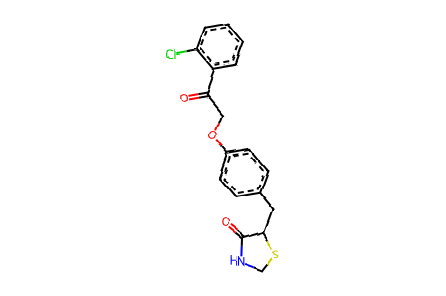 O=C(COc1ccc(CC2SCNC2=O)cc1)c1ccccc1Cl